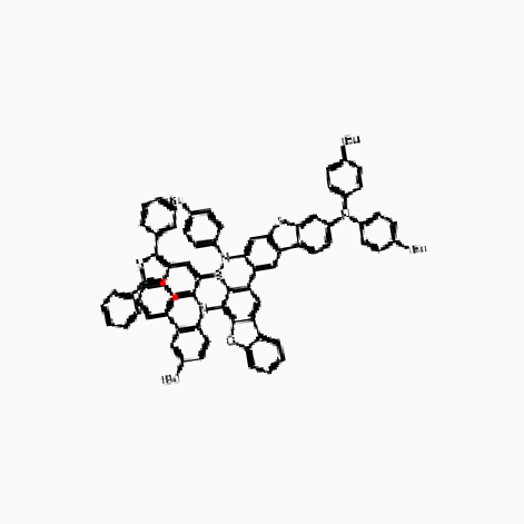 CC(C)(C)c1ccc(N2B3c4cc5c(-c6ccccc6)sc(-c6ccccc6)c5cc4N(c4ccc(C(C)(C)C)cc4-c4ccccc4)c4c3c(cc3c4oc4ccccc43)-c3cc4c(cc32)sc2cc(N(c3ccc(C(C)(C)C)cc3)c3ccc(C(C)(C)C)cc3)ccc24)cc1